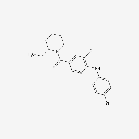 CC[C@@H]1CCCCN1C(=O)c1cnc(Nc2ccc(Cl)cc2)c(Cl)c1